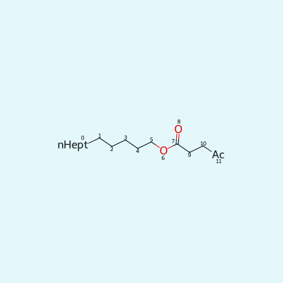 CCCCCCCCCCCCOC(=O)CCC(C)=O